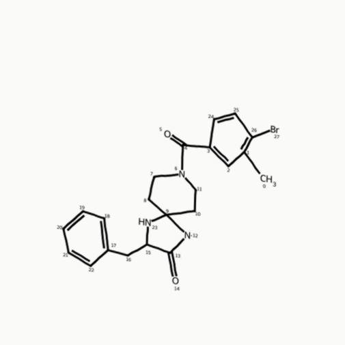 Cc1cc(C(=O)N2CCC3(CC2)[N]C(=O)C(Cc2ccccc2)N3)ccc1Br